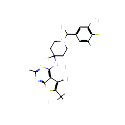 [2H]c1nc(N([2H])C2([2H])CCN(C([2H])c3cc(Cl)c(F)c(C#N)c3)CC2)c2c([2H])c(C([2H])(C)C)sc2n1